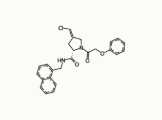 O=C(NCc1cccc2ccccc12)[C@@H]1C/C(=C\Cl)CN1C(=O)COc1ccccc1